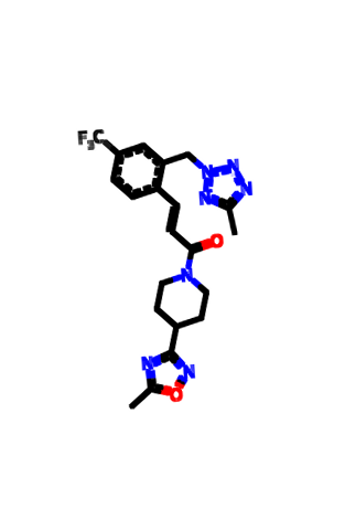 Cc1nnn(Cc2cc(C(F)(F)F)ccc2C=CC(=O)N2CCC(c3noc(C)n3)CC2)n1